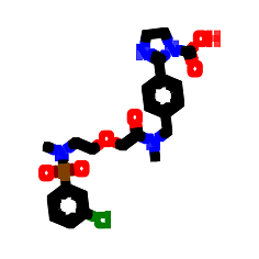 CN(Cc1ccc(C2=NCCN2C(=O)O)cc1)C(=O)COCCN(C)S(=O)(=O)c1cccc(Cl)c1